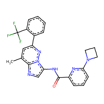 Cc1cc(-c2ccccc2C(F)(F)F)nn2c(NC(=O)c3cccc(N4CCC4)n3)cnc12